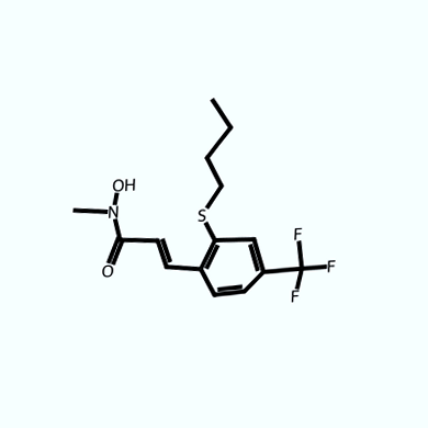 CCCCSc1cc(C(F)(F)F)ccc1C=CC(=O)N(C)O